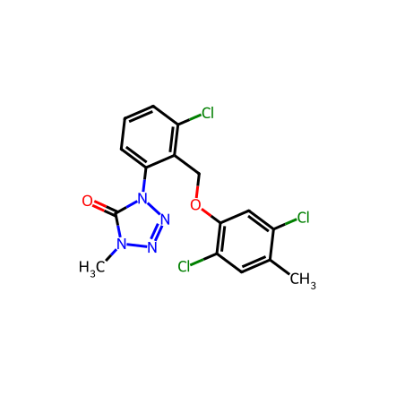 Cc1cc(Cl)c(OCc2c(Cl)cccc2-n2nnn(C)c2=O)cc1Cl